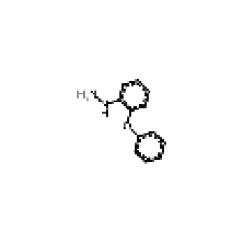 NNc1ccccc1Oc1ccccc1